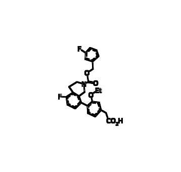 CCOc1cc(CC(=O)O)ccc1-c1ccc(F)c2c1CN(C(=O)OCc1cccc(F)c1)CC2